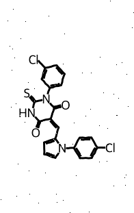 O=C1NC(=S)N(c2cccc(Cl)c2)C(=O)/C1=C/c1cccn1-c1ccc(Cl)cc1